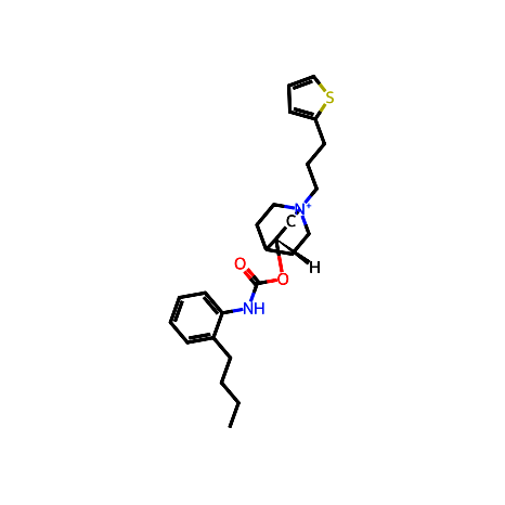 CCCCc1ccccc1NC(=O)O[C@H]1C[N+]2(CCCc3cccs3)CCC1CC2